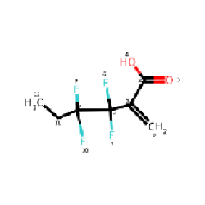 C=C(C(=O)O)C(F)(F)C(F)(F)CC